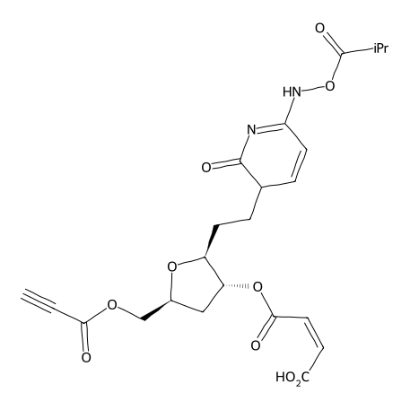 C#CC(=O)OC[C@@H]1C[C@@H](OC(=O)/C=C\C(=O)O)[C@H](CCC2C=CC(NOC(=O)C(C)C)=NC2=O)O1